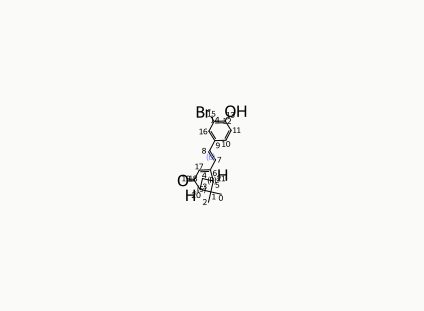 CC1(C)[C@@H]2C[C@H]1C(/C=C/c1ccc(O)c(Br)c1)=CC2=O